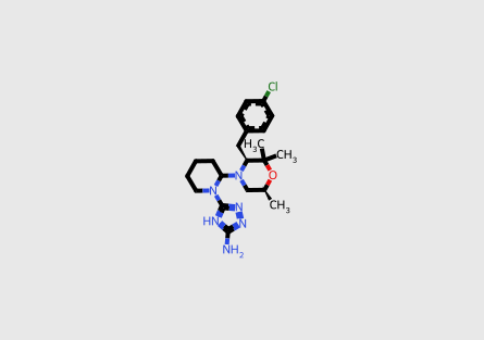 C[C@H]1CN(C2CCCCN2c2nnc(N)[nH]2)[C@@H](Cc2ccc(Cl)cc2)C(C)(C)O1